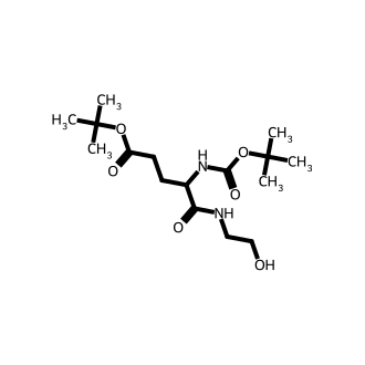 CC(C)(C)OC(=O)CCC(NC(=O)OC(C)(C)C)C(=O)NCCO